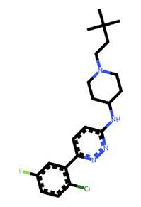 CC(C)(C)CCN1CCC(Nc2ccc(-c3cc(F)ccc3Cl)nn2)CC1